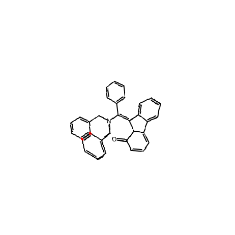 O=C1C=CC=C2c3ccccc3C(=C(c3ccccc3)N(Cc3ccccc3)Cc3ccccc3)C12